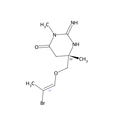 C/C(Br)=C\OC[C@]1(C)CC(=O)N(C)C(=N)N1